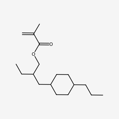 C=C(C)C(=O)OCC(CC)CC1CCC(CCC)CC1